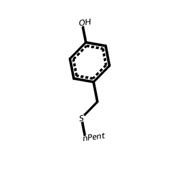 CCCCCSCc1ccc(O)cc1